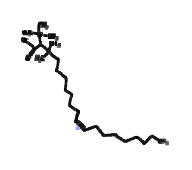 CCCCCCCC/C=C\CCCCCCCC(C)(C)C(C(=O)[O-])[N+](C)(C)C